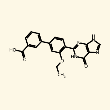 CCOc1cc(-c2cccc(C(=O)O)c2)ccc1-c1nc2[nH]cnc2c(=O)[nH]1